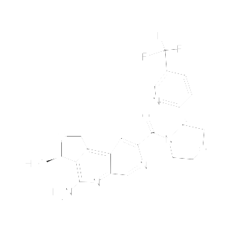 C[C@H]1OCc2c1c(N)nc1cnc(C(=O)N3CCOC[C@H]3c3ccc(C(F)(F)F)cn3)cc21